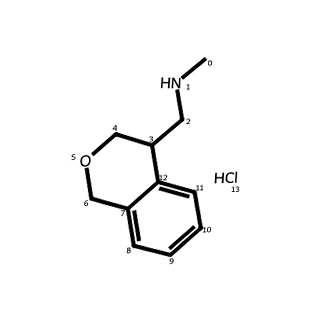 CNCC1COCc2ccccc21.Cl